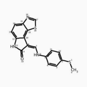 CSc1ccc(NC=C2C(=O)Nc3ccc4ncsc4c32)cc1